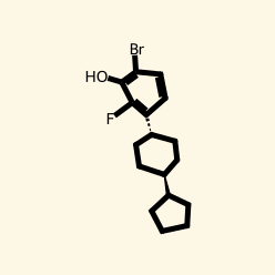 Oc1c(Br)ccc([C@H]2CC[C@H](C3CCCC3)CC2)c1F